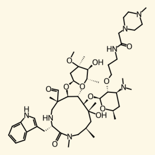 CO[C@]1(C)C[C@H](O[C@H]2[C@H](C)[C@@H](O[C@@H]3O[C@H](C)C[C@H](N(C)C)[C@H]3OCCCNC(=O)CN3CCN(C)CC3)[C@](C)(O)C[C@@H](C)CN(C)C(=O)[C@H](Cc3c[nH]c4ccccc34)NC[C@]2(C)C=O)O[C@@H](C)[C@@H]1O